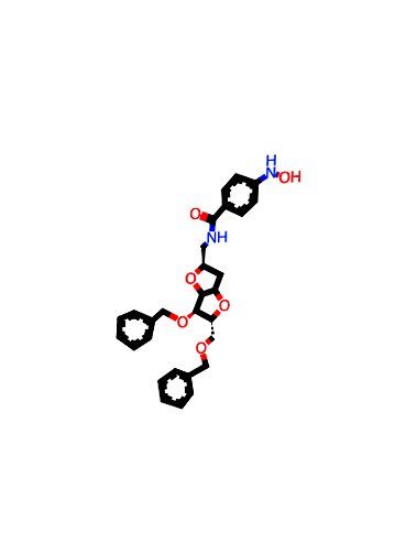 O=C(NC[C@H]1CC2O[C@H](COCc3ccccc3)[C@@H](OCc3ccccc3)C2O1)c1ccc(NO)cc1